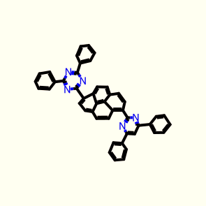 c1ccc(-c2cc(-c3ccccc3)nc(-c3ccc4ccc5c(-c6nc(-c7ccccc7)nc(-c7ccccc7)n6)ccc6ccc3c4c65)n2)cc1